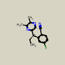 CC[C@@H](c1cnc(C)c(C)n1)c1cc(F)ccc1C#N